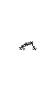 C=C(C)C(=O)OCCCCOC(=O)Oc1ccc(OC(=O)c2ccc(C(=O)OC3CC(C)CCC3C(C)C)cc2)cc1